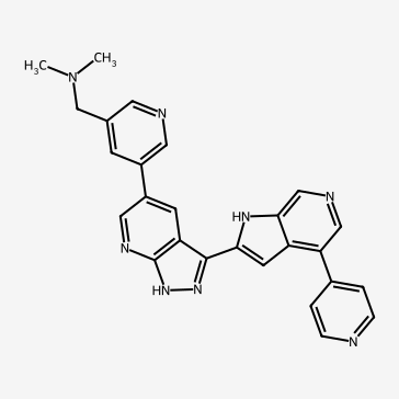 CN(C)Cc1cncc(-c2cnc3[nH]nc(-c4cc5c(-c6ccncc6)cncc5[nH]4)c3c2)c1